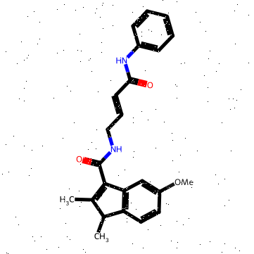 COc1ccc2c(c1)C(C(=O)NC/C=C/C(=O)Nc1ccccc1)=C(C)C2C